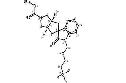 CC(C)(C)OC(=O)N1C[C@@H]2CC3(C[C@@H]2C1)C(=O)N(COCC[Si](C)(C)C)c1ncccc13